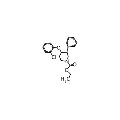 CCOC(=O)N1CC[C@@H](Oc2ccccc2Cl)[C@@H](c2ccccc2)C1